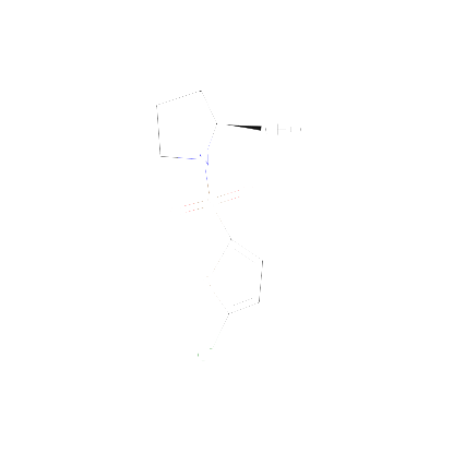 O=C[C@@H]1C[CH]CN1S(=O)(=O)c1ccc(Cl)s1